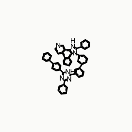 c1ccc(C2=NC(c3cccc(-c4cccc(N5c6c(c7cnccc7c7ccccc67)NC5c5ccccc5)c4)c3)NC(c3ccc(-c4ccccc4)cc3)=N2)cc1